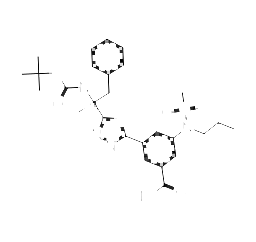 CCCN(c1cc(C(=O)O)cc(-c2nnc([C@@](C)(Cc3ccccc3)NC(=O)OC(C)(C)C)o2)c1)S(C)(=O)=O